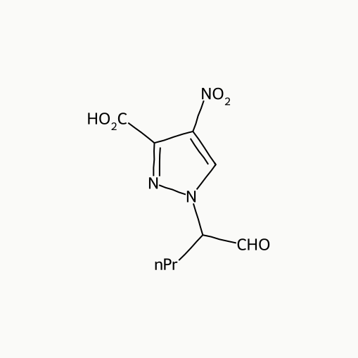 CCCC(C=O)n1cc([N+](=O)[O-])c(C(=O)O)n1